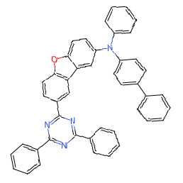 c1ccc(-c2ccc(N(c3ccccc3)c3ccc4oc5ccc(-c6nc(-c7ccccc7)nc(-c7ccccc7)n6)cc5c4c3)cc2)cc1